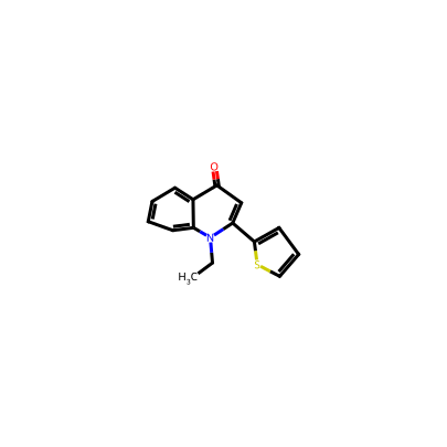 CCn1c(-c2cccs2)cc(=O)c2ccccc21